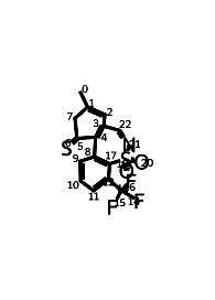 CC1=CC2=C(C(=S)C1)c1cccc(C(F)(F)F)c1S(=O)(=O)N=C2